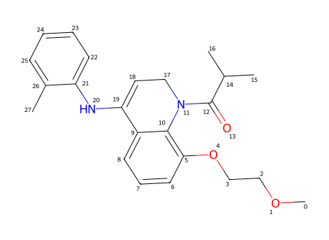 COCCOc1cccc2c1N(C(=O)C(C)C)CC=C2Nc1ccccc1C